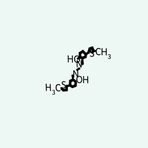 Cc1ccc(-c2ccc(O)c(C=NCCN=Cc3cc(-c4ccc(C)s4)ccc3O)c2)s1